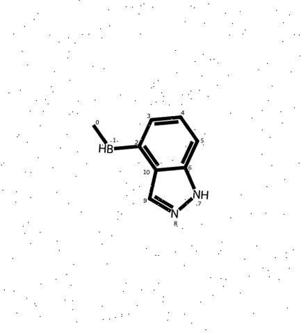 CBc1cccc2[nH]ncc12